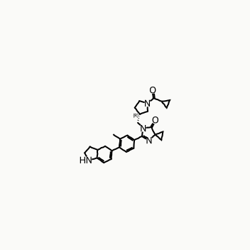 Cc1cc(C2=NC3(CC3)C(=O)N2C[C@@H]2CCN(C(=O)C3CC3)C2)ccc1C1=CC=C2NCCC2C1